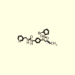 C/C=C/CN(c1ccc(NC(=O)NCc2cccnc2)cc1)S(=O)(=O)c1ccccc1Br